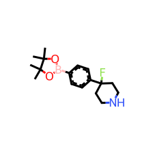 CC1(C)OB(c2ccc(C3(F)CCNCC3)cc2)OC1(C)C